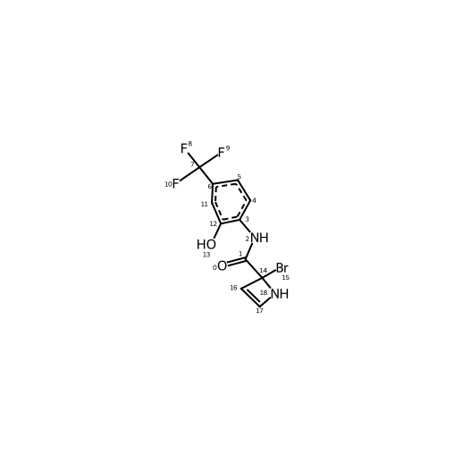 O=C(Nc1ccc(C(F)(F)F)cc1O)C1(Br)C=CN1